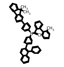 C=C(c1ccccc1-c1ccccc1C)N(c1ccc(-c2ccc3c(c2)C(C)(C)c2ccccc2-3)cc1)c1ccc(-c2ccc3ccccc3c2-c2ccccc2)cc1